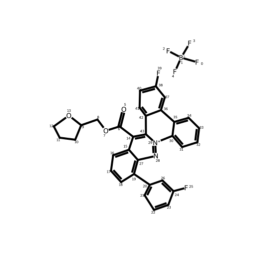 F[B-](F)(F)F.O=C(OCC1CCCO1)c1c2cccc(-c3cccc(F)c3)c2n[n+]2c3ccccc3c3cc(F)ccc3c12